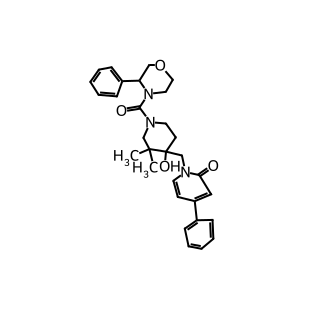 CC1(C)CN(C(=O)N2CCOCC2c2ccccc2)CCC1(O)Cn1ccc(-c2ccccc2)cc1=O